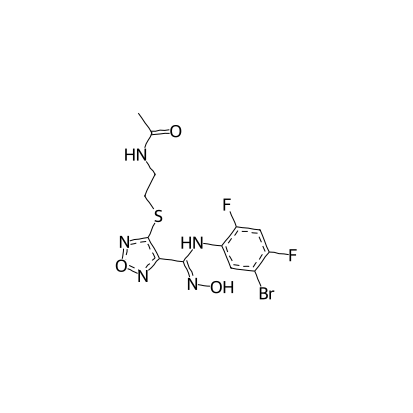 CC(=O)NCCSc1nonc1/C(=N/O)Nc1cc(Br)c(F)cc1F